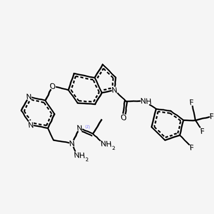 C/C(N)=N/N(N)Cc1cc(Oc2ccc3c(ccn3C(=O)Nc3ccc(F)c(C(F)(F)F)c3)c2)ncn1